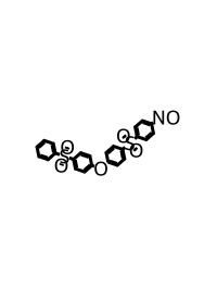 O=Nc1ccc(S(=O)(=O)c2ccc(Oc3ccc(S(=O)(=O)c4ccccc4)cc3)cc2)cc1